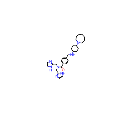 O=C(c1ccc(CNC2CCC(N3CCCCCCC3)CC2)cc1)N(Cc1ncc[nH]1)Cc1ncc[nH]1